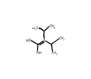 CC(C)S(=C(O)O)C(C)C